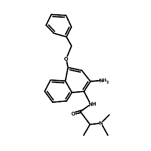 CC(C(=O)Nc1c(N)cc(OCc2ccccc2)c2ccccc12)N(C)C